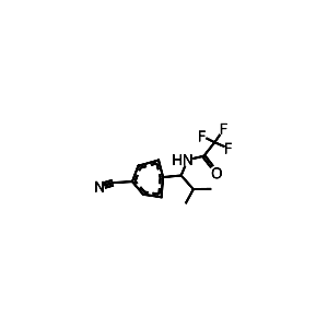 CC(C)C(NC(=O)C(F)(F)F)c1ccc(C#N)cc1